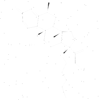 CCCCCO[C@]1(C(=O)CO)CC[C@H]2[C@@H]3C[C@H](C)C4=CC(=O)C=C[C@]4(C)[C@H]3[C@@H](O)C[C@@]21C